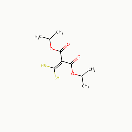 CC(C)OC(=O)C(C(=O)OC(C)C)=C(S)S